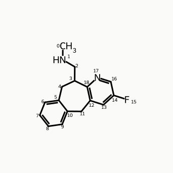 CNCC1Cc2ccccc2Cc2cc(F)cnc21